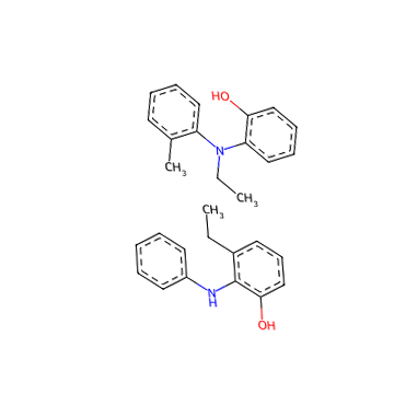 CCN(c1ccccc1C)c1ccccc1O.CCc1cccc(O)c1Nc1ccccc1